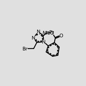 CCCc1nnc(CBr)n1-c1ccccc1C(=O)OC